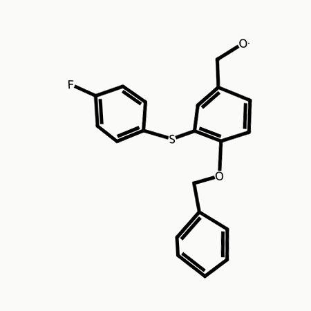 [O]Cc1ccc(OCc2ccccc2)c(Sc2ccc(F)cc2)c1